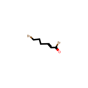 O=C(Br)/C=C/CCCBr